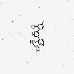 Cc1ccc(-c2cncc(-c3ccnc4c3NCCN4)c2)c(Cl)c1